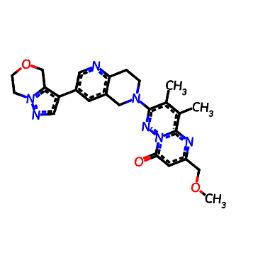 COCc1cc(=O)n2nc(N3CCc4ncc(-c5cnn6c5COCC6)cc4C3)c(C)c(C)c2n1